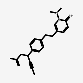 C=C(C)CC(C#CC)c1ccc(CCc2ccc(=N)n(N(C)C)c2)cc1